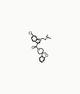 CN(C)CCn1cc(C(=O)N2CCC3(CC2)COc2ccccc23)c2ccc(Cl)cc21